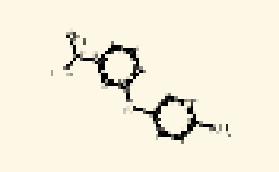 Cc1ccc(Oc2cccc(C(C)C)c2)cn1